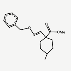 COC(=O)C1(C=NOCc2ccccc2)CCC(C)CC1